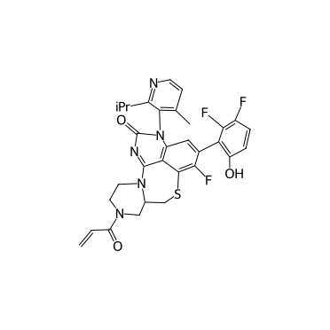 C=CC(=O)N1CCN2c3nc(=O)n(-c4c(C)ccnc4C(C)C)c4cc(-c5c(O)ccc(F)c5F)c(F)c(c34)SCC2C1